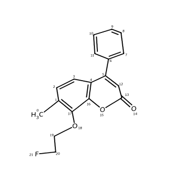 Cc1ccc2c(-c3ccccc3)cc(=O)oc2c1OCCF